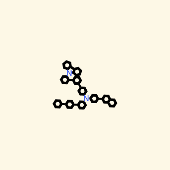 c1ccc(-c2ccc(-c3cccc(N(c4ccc(-c5cccc(-c6ccccc6-n6c7ccccc7c7ccccc76)c5)cc4)c4ccc(-c5ccc6ccccc6c5)cc4)c3)cc2)cc1